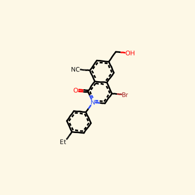 CCc1ccc(-n2cc(Br)c3cc(CO)cc(C#N)c3c2=O)cc1